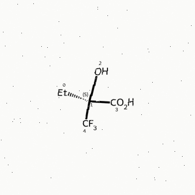 CC[C@](O)(C(=O)O)C(F)(F)F